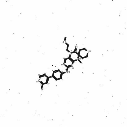 COCCN1C(=O)C2(CCOCC2)N(C)c2nc(Nc3ccc(-c4ccnc(C)c4)cc3)ncc21